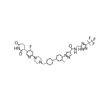 Cc1cc(-c2ccc(CN3CCN(c4cc(F)c(C5CCC(=O)NC5=O)cn4)CC3)cc2)ccc1-n1cc(C(=O)NCc2nc(C(C)(C)C(F)(F)F)n[nH]2)cn1